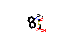 CN(C(=O)SCC(=O)O)c1cccc2ccccc12